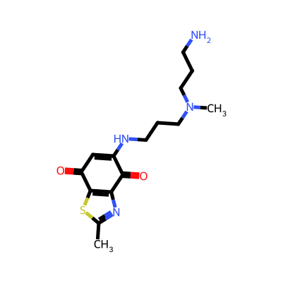 Cc1nc2c(s1)C(=O)C=C(NCCCN(C)CCCN)C2=O